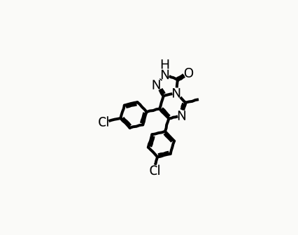 Cc1nc(-c2ccc(Cl)cc2)c(-c2ccc(Cl)cc2)c2n[nH]c(=O)n12